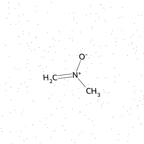 C=[N+](C)[O-]